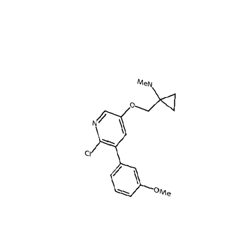 CNC1(COc2cnc(Cl)c(-c3cccc(OC)c3)c2)CC1